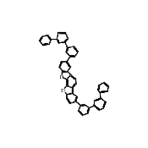 C1=CC2Oc3c(ccc4c3oc3ccc(-c5cccc(-c6cccc(-c7ccccc7)c6)c5)cc34)C2C=C1c1cccc(-c2cccc(-c3ccccc3)c2)c1